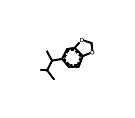 CC(C)C(C)c1ccc2c(c1)OCO2